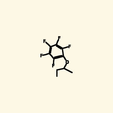 CCC(C)Oc1c(F)c(F)c(F)c(F)c1F